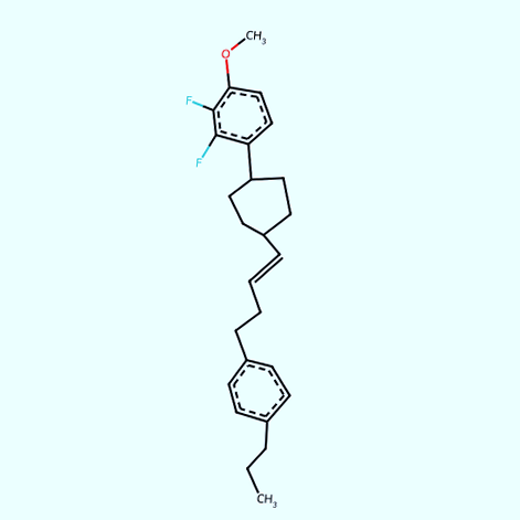 CCCc1ccc(CC/C=C/C2CCC(c3ccc(OC)c(F)c3F)CC2)cc1